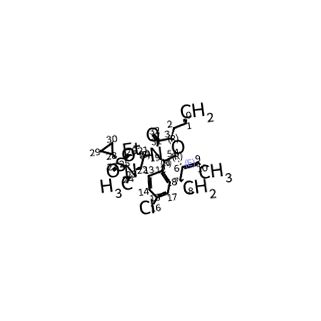 C=CC[C@H]1O[C@H](/C(C=C)=C/C)[C@@H](c2ccc(Cl)cc2)N([C@@H](CC)CN(C)S(=O)(=O)C2CC2)C1=O